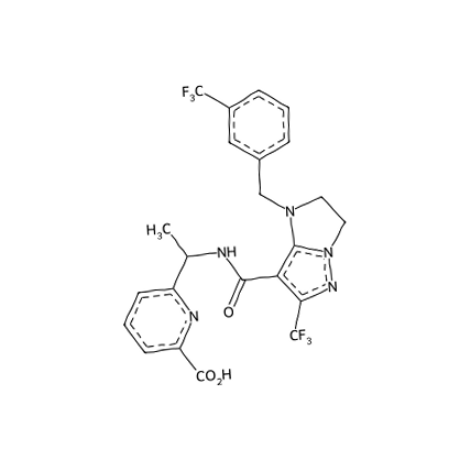 CC(NC(=O)c1c(C(F)(F)F)nn2c1N(Cc1cccc(C(F)(F)F)c1)CC2)c1cccc(C(=O)O)n1